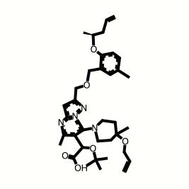 C=CCOC1(C)CCN(c2c(C(OC(C)(C)C)C(=O)O)c(C)nc3cc(COCc4cc(C)ccc4O[C@@H](C)CC=C)nn23)CC1